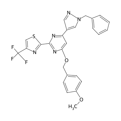 COc1ccc(COc2cc(-c3cnn(Cc4ccccc4)c3)nc(-c3nc(C(F)(F)F)cs3)n2)cc1